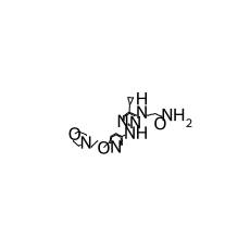 NC(=O)CCNc1nc(Nc2ccc(OCCN3CCOCC3)nc2)ncc1C1CC1